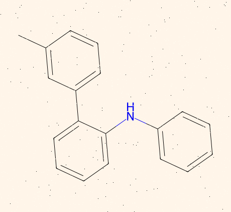 Cc1cccc(-c2ccccc2Nc2ccccc2)c1